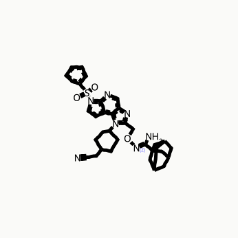 N#CCC1CCC(n2c(CO/N=C(\N)C34CC5CC(CC(C5)C3)C4)nc3cnc4c(ccn4S(=O)(=O)c4ccccc4)c32)CC1